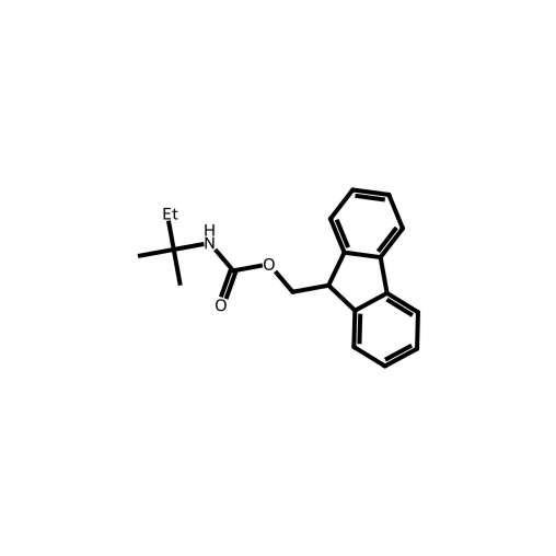 CCC(C)(C)NC(=O)OCC1c2ccccc2-c2ccccc21